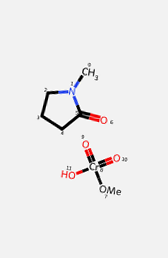 CN1CCCC1=O.C[O][Cr](=[O])(=[O])[OH]